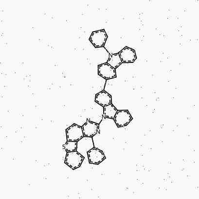 c1ccc(-c2nc(-n3c4ccccc4c4cc(-c5ccc6c(c5)c5ccccc5n6-c5ccccc5)ccc43)nc3ccc4sc5ccccc5c4c23)cc1